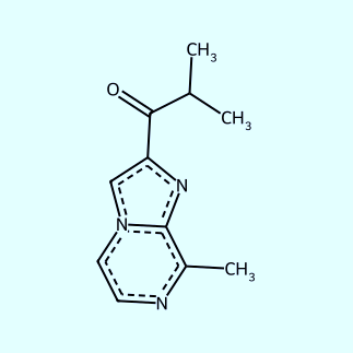 Cc1nccn2cc(C(=O)C(C)C)nc12